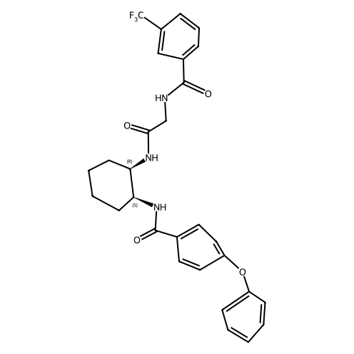 O=C(CNC(=O)c1cccc(C(F)(F)F)c1)N[C@@H]1CCCC[C@@H]1NC(=O)c1ccc(Oc2ccccc2)cc1